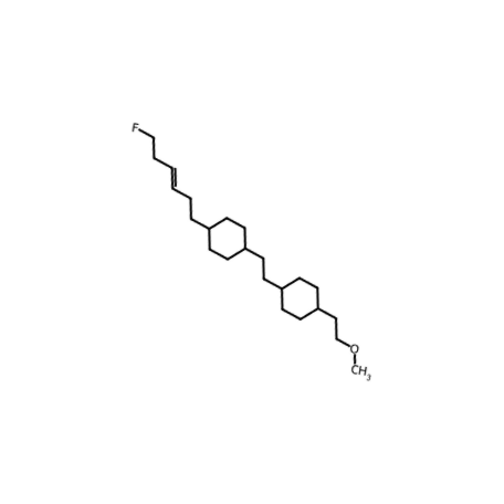 COCCC1CCC(CCC2CCC(CC/C=C/CCF)CC2)CC1